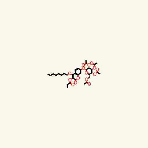 CCCCCCCCOc1c(OC(=O)CC)c(=O)oc2cc(O[C@@H]3O[C@H](COC(C)=O)[C@H](OC(C)=O)[C@H](OC(C)=O)[C@H]3OC(C)=O)ccc12